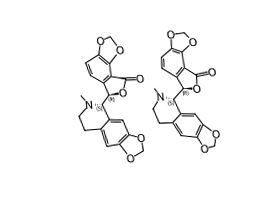 CN1CCc2cc3c(cc2[C@H]1[C@@H]1OC(=O)c2c1ccc1c2OCO1)OCO3.CN1CCc2cc3c(cc2[C@H]1[C@@H]1OC(=O)c2c1ccc1c2OCO1)OCO3